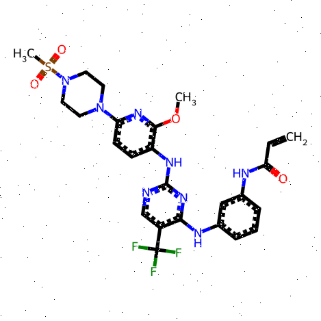 C=CC(=O)Nc1cccc(Nc2nc(Nc3ccc(N4CCN(S(C)(=O)=O)CC4)nc3OC)ncc2C(F)(F)F)c1